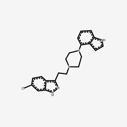 Clc1ccc2c(CCN3CCN(c4cccc5[nH]ccc45)CC3)n[nH]c2c1